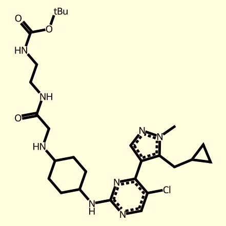 Cn1ncc(-c2nc(NC3CCC(NCC(=O)NCCNC(=O)OC(C)(C)C)CC3)ncc2Cl)c1CC1CC1